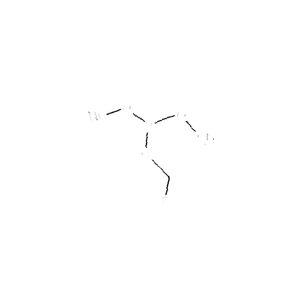 N#COB(OC#N)OCF